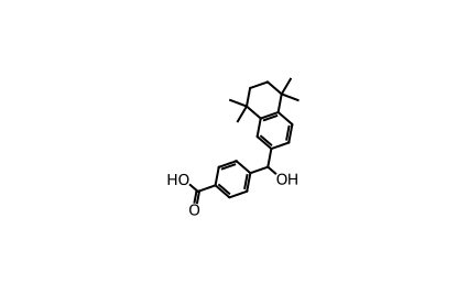 CC1(C)CCC(C)(C)c2cc(C(O)c3ccc(C(=O)O)cc3)ccc21